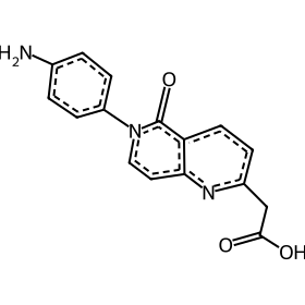 Nc1ccc(-n2ccc3nc(CC(=O)O)ccc3c2=O)cc1